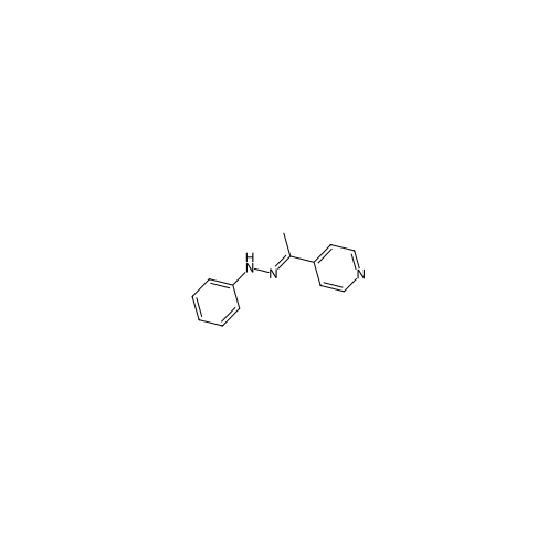 C/C(=N\Nc1ccccc1)c1ccncc1